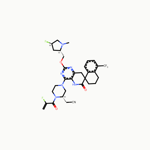 C=C(F)C(=O)N1CCN(c2nc(OC[C@@H]3C[C@@H](F)CN3C)nc3c2NC(=O)C2(CCCc4c(C(F)(F)F)cccc42)C3)C[C@@H]1CC#N